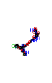 O=C1CCC(N2Cc3cc(NC(=O)CCNCCOCCOCCn4cc([C@]5(Cc6cccc(Nc7nccs7)n6)CC[C@@H](Oc6cccc(Cl)c6F)CC5)nn4)ccc3C2=O)C(=O)N1